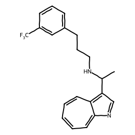 CC(NCCCc1cccc(C(F)(F)F)c1)c1cnc2cccccc1-2